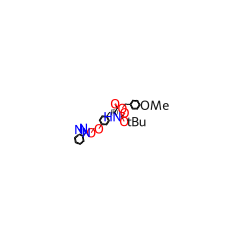 COc1ccc(COC(=O)[C@@H](Cc2ccc(OCOn3nnc4ccccc43)cc2)NC(=O)OC(C)(C)C)cc1